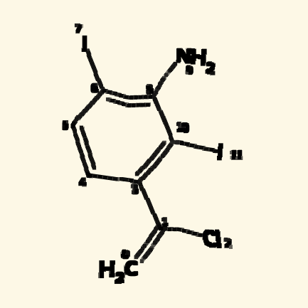 C=C(Cl)c1ccc(I)c(N)c1I